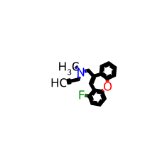 C#CCN(C)CC1=Cc2c(F)cccc2Oc2ccccc21